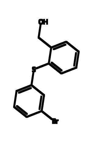 OCc1ccccc1Sc1cccc(Br)c1